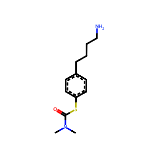 CN(C)C(=O)Sc1ccc(CCCCN)cc1